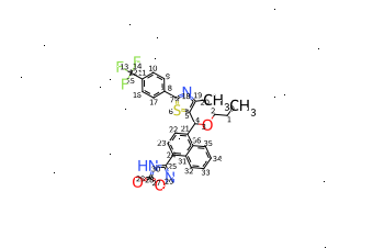 CCCOC(c1sc(-c2ccc(C(F)(F)F)cc2)nc1C)c1ccc(-c2noc(=O)[nH]2)c2ccccc12